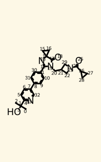 CC(C)(O)c1ccc(-c2ccc(C3=NC4(CC4)C(=O)N3CC3CN(C(=O)C4CC4)C3)cc2)cn1